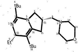 CC[C@@H]1N=C(C(C)(C)C)N2C[C@H](CN3CCOCC3)CC2=C1C(C)(C)C